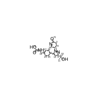 COc1ccc(-n2nc(C(C)(C)O)cc2-c2ccc(CNC(=O)O)cc2)cn1